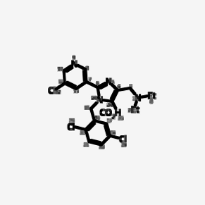 CCN(CC)Cc1nc(-c2cncc(Cl)c2)n(Cc2cc(Cl)ccc2Cl)c1C(=O)O